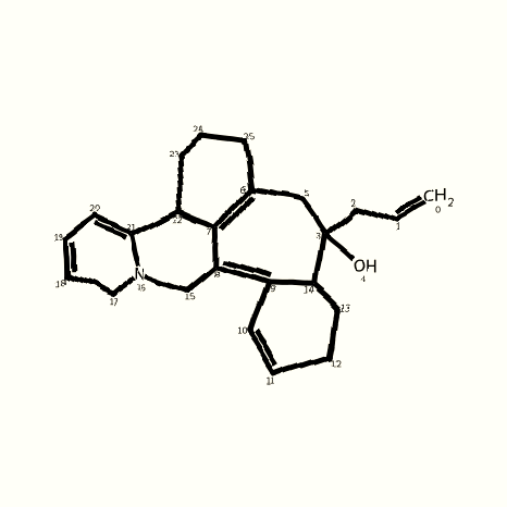 C=CCC1(O)CC2=C3C(=C4C=CCCC41)CN1CC=CC=C1C3CCC2